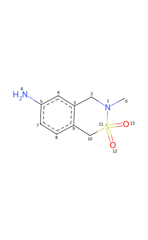 CN1Cc2cc(N)ccc2CS1(=O)=O